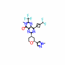 Cn1cc([C@@H]2C[C@H](c3nc(C45CC(C(F)F)(C4)C5)c4nc(C(F)(F)F)n(C)c(=O)c4n3)CCO2)cn1